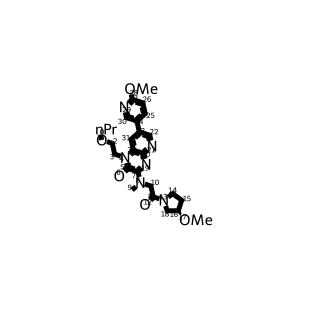 CCCOCCn1c(=O)c(N(C)CC(=O)N2CC[C@@H](OC)C2)nc2ncc(-c3ccc(OC)nc3)cc21